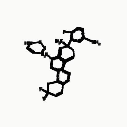 C1=CNSN=C1.C[C@]1(c2cc(N)ccc2F)C=c2c(N)cc3c4c(ccc3c2=CC1)C=CC(F)(F)C4